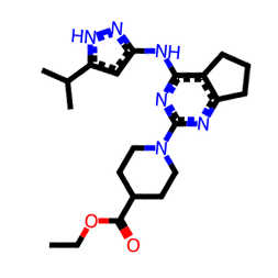 CCOC(=O)C1CCN(c2nc3c(c(Nc4cc(C(C)C)[nH]n4)n2)CCC3)CC1